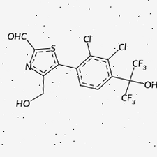 O=Cc1nc(CO)c(-c2ccc(C(O)(C(F)(F)F)C(F)(F)F)c(Cl)c2Cl)s1